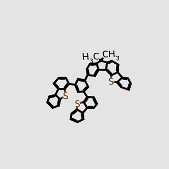 CC1(C)c2ccc(-c3cc(-c4cccc5c4sc4ccccc45)cc(-c4cccc5c4sc4ccccc45)c3)cc2-c2c1ccc1c2sc2ccccc21